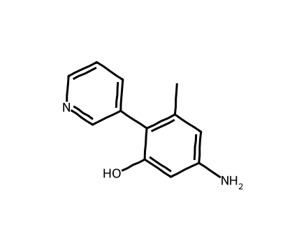 Cc1cc(N)cc(O)c1-c1cccnc1